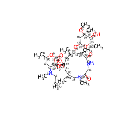 CCCN(C)[C@H]1C[C@@H](C)O[C@@H](O[C@@H]2[C@@H](C)[C@H](O[C@H]3C[C@@](C)(OC)[C@@H](O)[C@H](C)O3)[C@@H](C)C(=O)NCC(=O)N(C)C[C@H](C)C[C@@]2(C)O)[C@@H]1O